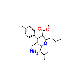 COC(=O)c1c(CC(C)C)nc(CC(C)C)c(CN)c1-c1ccc(C)cc1